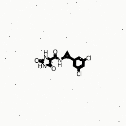 O=C1NC(=O)C(C(=O)NC2CC2c2cc(Cl)cc(Cl)c2)N1